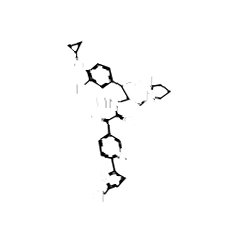 O=C(N[C@H](CN1CCCC1)[C@H](O)c1ccc(OC2CC2)c(F)c1)C(=O)c1ccc(-c2ccc(Cl)s2)nc1